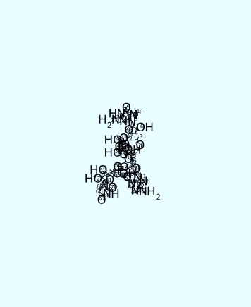 COCC[C@H]1[C@@H](O)[C@H](n2c[n+](C)c3c(=O)[nH]c(N)nc32)O[C@@H]1COP(=O)(O)OP(=O)(O)OP(O)(=S)OC[C@H]1O[C@@H](n2cnc3c(N)ncnc32)[C@H](OC)[C@@H]1OP(=O)(O)OC[C@H]1O[C@@H](n2ccc(=O)[nH]c2=O)[C@H](O)[C@@H]1O